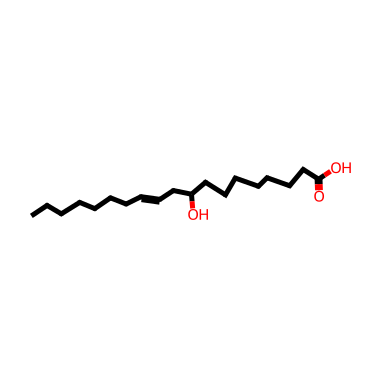 CCCCCCCC=CCC(O)CCCCCCCC(=O)O